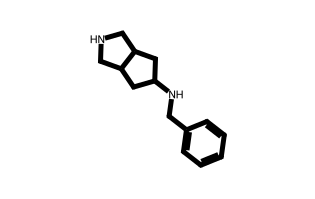 c1ccc(CNC2CC3CNCC3C2)cc1